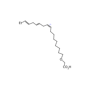 CCC=CCC=CC/C=C\CCCCCCCCOCC(=O)O